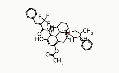 CC(=O)OC1=C2C[C@@H]3[C@@H]4CCC[C@@H]5OC(NC(=O)C(=Cc6ccccc6)C(F)(F)F)(C(O)=C1)C2[C@@]54CC[N+]3(CCc1ccccc1)CC(C)C